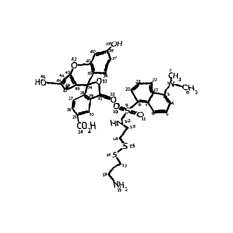 CN(C)c1cccc2c(S(=O)(=O)NCCSSCCN)cccc12.O=C(O)c1ccc2c(c1)C(=O)OC21c2ccc(O)cc2Oc2cc(O)ccc21